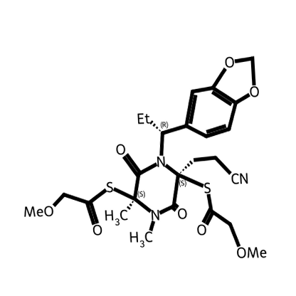 CC[C@H](c1ccc2c(c1)OCO2)N1C(=O)[C@](C)(SC(=O)COC)N(C)C(=O)[C@]1(CCC#N)SC(=O)COC